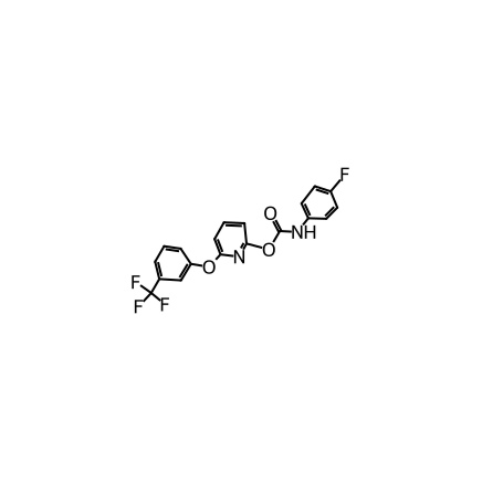 O=C(Nc1ccc(F)cc1)Oc1cccc(Oc2cccc(C(F)(F)F)c2)n1